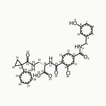 O=C(NCc1cccc(O)c1)c1ccc(C(=O)N[C@@H](CNC(=O)C2(c3ccccc3)CC2)C(=O)O)c(Cl)c1